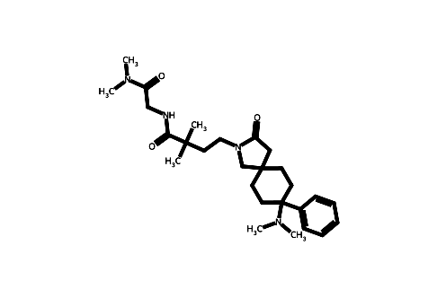 CN(C)C(=O)CNC(=O)C(C)(C)CCN1CC2(CCC(c3ccccc3)(N(C)C)CC2)CC1=O